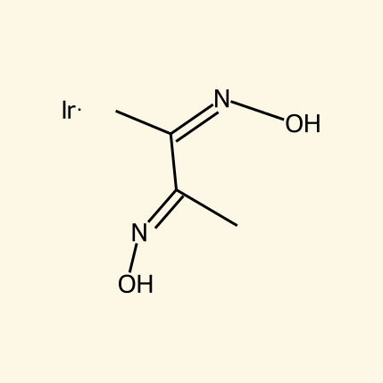 CC(=NO)C(C)=NO.[Ir]